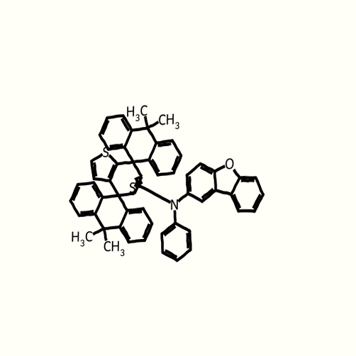 CC1(C)c2ccccc2C2(c3ccccc31)c1cc(N(c3ccccc3)c3ccc4oc5ccccc5c4c3)sc1C1(c3ccccc3C(C)(C)c3ccccc31)c1ccsc12